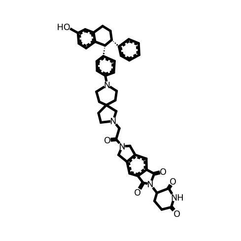 O=C1CCC(N2C(=O)c3cc4c(cc3C2=O)CN(C(=O)CN2CCC3(CCN(c5ccc([C@@H]6c7ccc(O)cc7CC[C@@H]6c6ccccc6)cc5)CC3)C2)C4)C(=O)N1